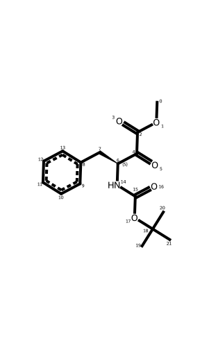 COC(=O)C(=O)[C@H](Cc1ccccc1)NC(=O)OC(C)(C)C